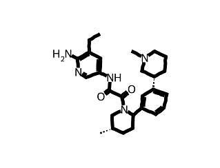 CCc1cc(NC(=O)C(=O)N2C[C@@H](C)CCC2c2cccc([C@H]3CCCN(C)C3)c2)cnc1N